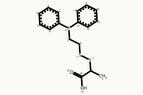 CC(SSCCP(c1ccccc1)c1ccccc1)C(=O)O